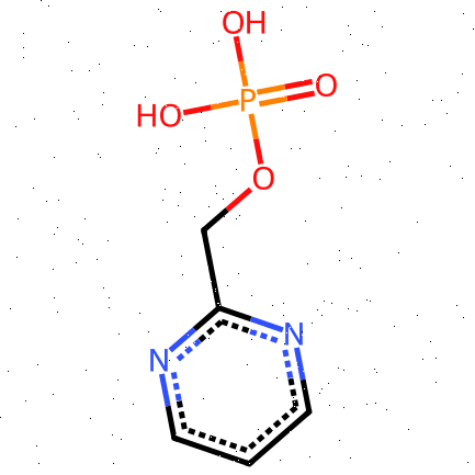 O=P(O)(O)OCc1ncccn1